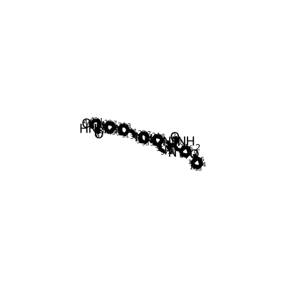 NC(=O)c1c(-c2ccc(Oc3ccccc3)cc2)nn2c1Nc1ccc(N3CCN(CCC4CCN(c5ccc(N6CCC(=O)NC6=O)cc5)CC4)CC3)cc1CC2